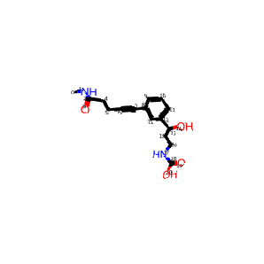 CNC(=O)CCC#Cc1cccc(C(O)CCNC(=O)O)c1